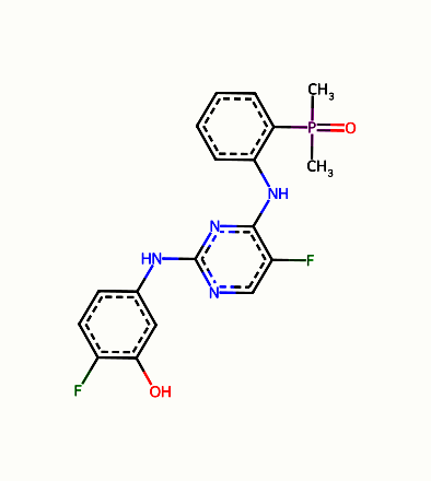 CP(C)(=O)c1ccccc1Nc1nc(Nc2ccc(F)c(O)c2)ncc1F